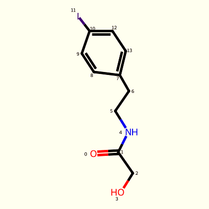 O=C(CO)NCCc1ccc(I)cc1